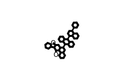 c1ccc(-c2ccc(-c3c4ccccc4c(-c4cc5cccc6oc7c8c(cc4c7c56)oc4ccccc48)c4ccccc34)c3ccccc23)cc1